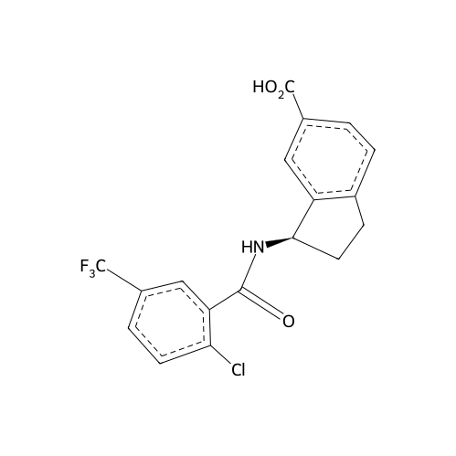 O=C(O)c1ccc2c(c1)[C@H](NC(=O)c1cc(C(F)(F)F)ccc1Cl)CC2